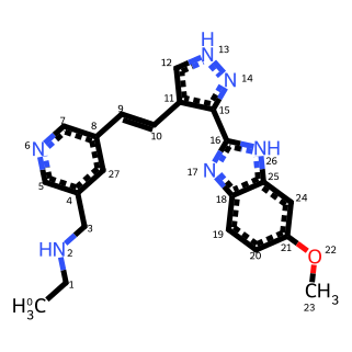 CCNCc1cncc(/C=C/c2c[nH]nc2-c2nc3ccc(OC)cc3[nH]2)c1